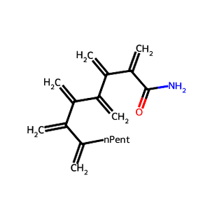 C=C(CCCCC)C(=C)C(=C)C(=C)C(=C)C(=C)C(N)=O